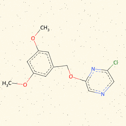 COc1cc(COc2cncc(Cl)n2)cc(OC)c1